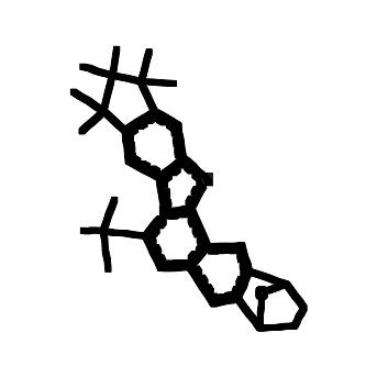 CC(C)(C)c1cc2cc3c(cc2c2nc4cc5c(cc4n12)C(C)(C)C(C)(C)C5(C)C)C1CCC3O1